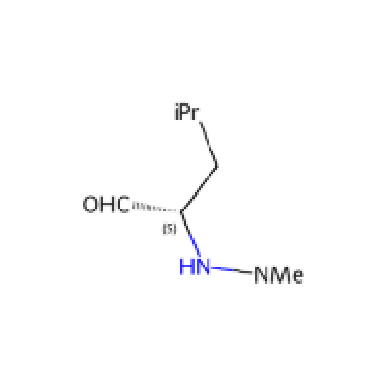 CNN[C@H](C=O)CC(C)C